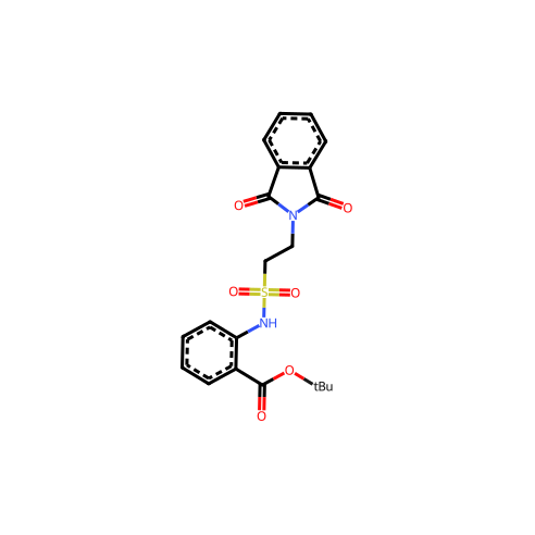 CC(C)(C)OC(=O)c1ccccc1NS(=O)(=O)CCN1C(=O)c2ccccc2C1=O